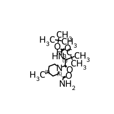 C[C@H]1CCN(C(=O)[C@@H](NC(=O)OC(C)(C)C)C(C)(C)C)[C@H](C(N)=O)C1